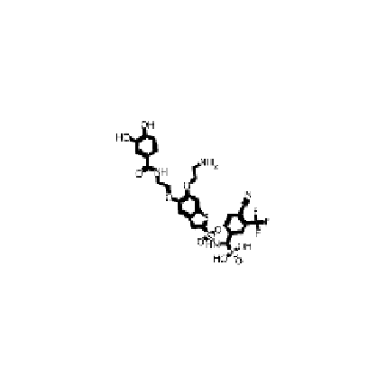 N#Cc1ccc(C(NS(=O)(=O)c2cc3cc(OCCNC(=O)c4ccc(O)c(O)c4)c(OCCN)cc3s2)P(=O)(O)O)cc1C(F)(F)F